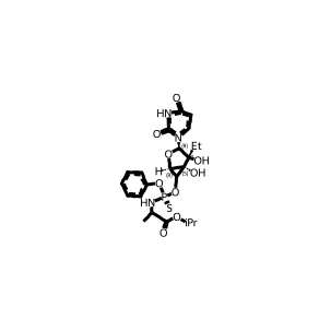 CC[C@]1(O)[C@H](n2ccc(=O)[nH]c2=O)O[C@@H]2C(OP(=S)(NC(C)C(=O)OC(C)C)Oc3ccccc3)[C@@]21O